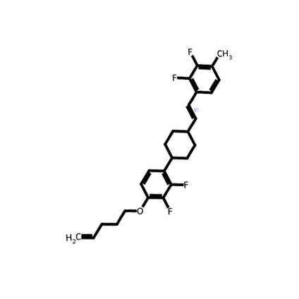 C=CCCCOc1ccc(C2CCC(/C=C/c3ccc(C)c(F)c3F)CC2)c(F)c1F